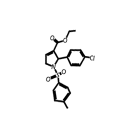 CCOC(=O)C1=CCN(S(=O)(=O)c2ccc(C)cc2)C1c1ccc(Cl)cc1